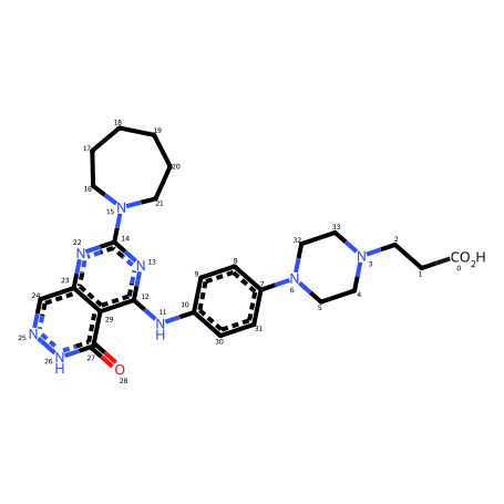 O=C(O)CCN1CCN(c2ccc(Nc3nc(N4CCCCCC4)nc4cn[nH]c(=O)c34)cc2)CC1